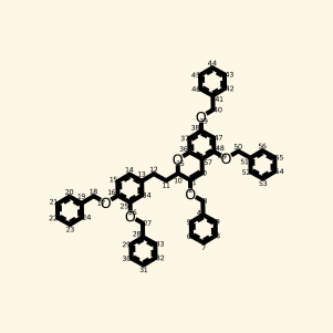 C1=C(OCc2ccccc2)C(CCc2ccc(OCc3ccccc3)c(OCc3ccccc3)c2)Oc2cc(OCc3ccccc3)cc(OCc3ccccc3)c21